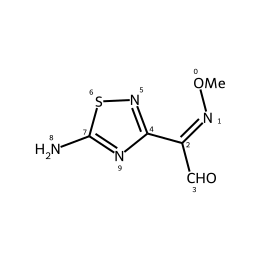 CO/N=C(/C=O)c1nsc(N)n1